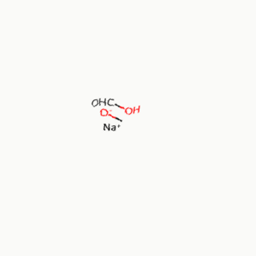 C[O-].O=CO.[Na+]